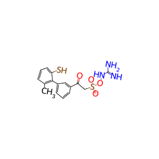 Cc1cccc(S)c1-c1cccc(C(=O)CS(=O)(=O)ONC(=N)N)c1